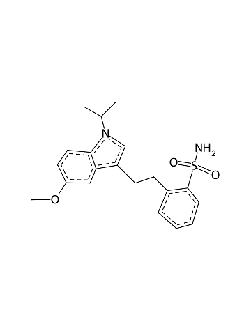 COc1ccc2c(c1)c(CCc1ccccc1S(N)(=O)=O)cn2C(C)C